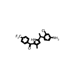 Cc1cc(C(C)c2ccc(N)cc2Cl)[nH]c1C(=O)c1ccc(C(F)(F)F)cc1